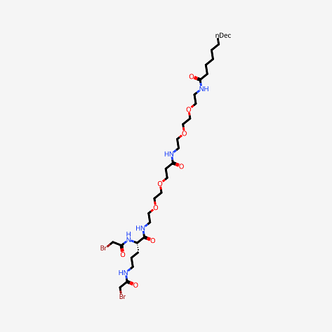 CCCCCCCCCCCCCCCC(=O)NCCOCCOCCNC(=O)CCOCCOCCNC(=O)[C@H](CCCNC(=O)CBr)NC(=O)CBr